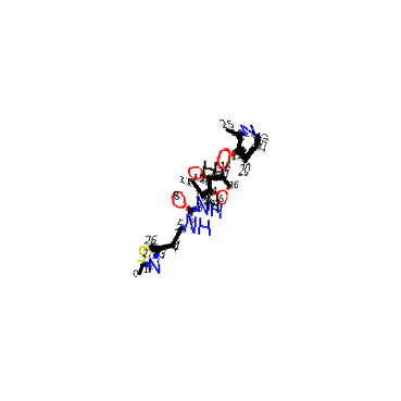 Cc1nc(CCNC(=O)N[C@H]2CO[C@H]3[C@@H]2OC[C@@H]3Oc2cccnc2C)cs1